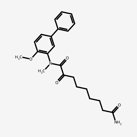 COc1ccc(-c2ccccc2)cc1N(C)C(=O)C(=O)CCCCCCC(N)=O